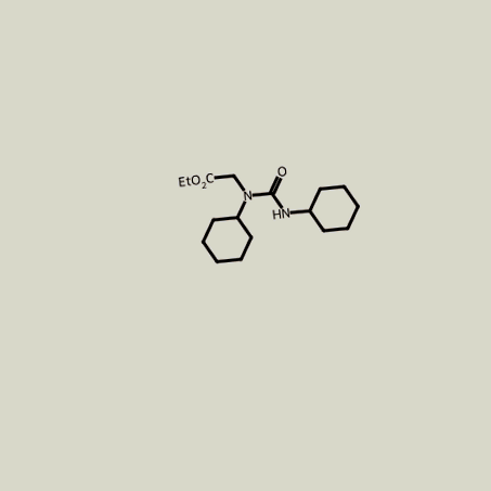 CCOC(=O)CN(C(=O)NC1CCCCC1)C1CCCCC1